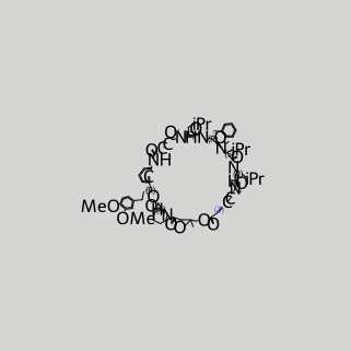 COc1ccc(CC[C@H]2OC(=O)[C@@H]3CCCCN3C(=O)C(=O)C(C)(C)COC(=O)/C=C\CCN(C)C(=O)[C@@H](CC(C)C)NC(=O)[C@H](C(C)C)N(C)C(=O)[C@@H](Cc3ccccc3)NC(=O)[C@H](CC(C)C)N(C)C(=O)CCC(=O)Nc3cccc2c3)cc1OC